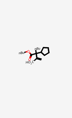 C=C(C(=O)O)C(CCCC)(C(=O)OCCCC)C1CCCC1